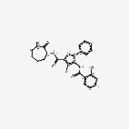 O=C(Nc1c(Br)c(C(=O)N[C@@H]2CCCCNC2=O)nn1-c1ccccc1)c1ccccc1Cl